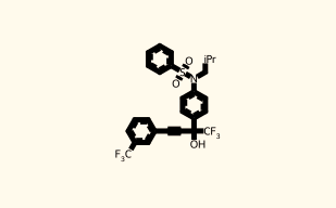 CC(C)CN(c1ccc(C(O)(C#Cc2cccc(C(F)(F)F)c2)C(F)(F)F)cc1)S(=O)(=O)c1ccccc1